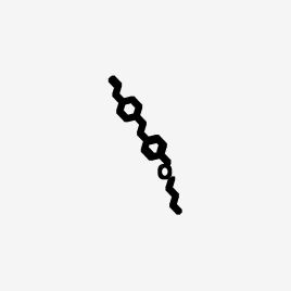 C=CCC1CCC(CCc2ccc(COCCCCC)cc2)CC1